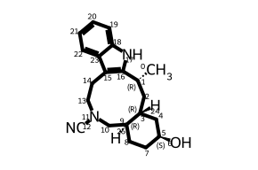 C[C@@H]1C[C@@H]2C[C@@H](O)CC[C@H]2CN(C#N)CCc2c1[nH]c1ccccc21